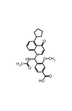 COc1cc(C(=O)O)ccc1C(NC(C)=O)n1ccc(=O)c2c(C3CCCC3)cccc21